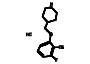 Cl.N#Cc1c(F)cccc1OCC1CCNCC1